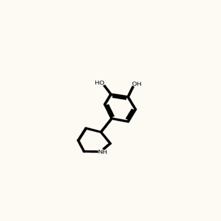 Oc1ccc(C2CCCNC2)cc1O